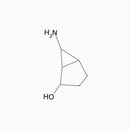 NC1C2CCC(O)C12